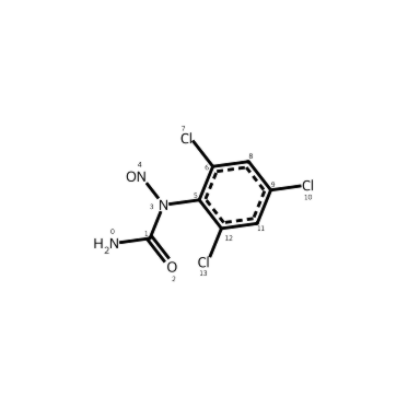 NC(=O)N(N=O)c1c(Cl)cc(Cl)cc1Cl